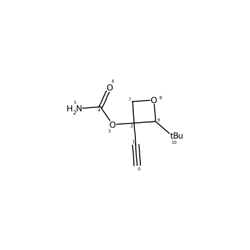 C#CC1(OC(N)=O)COC1C(C)(C)C